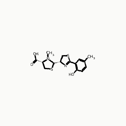 Cc1ccc(O)c(C2=N[C@H](C3SC[C@H](C(=O)O)N3C)CS2)c1